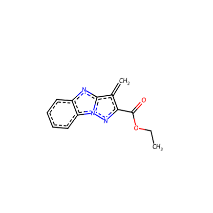 C=c1c(C(=O)OCC)nn2c1nc1ccccc12